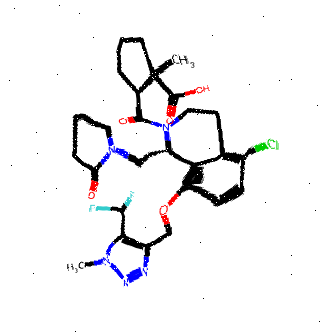 Cn1nnc(COc2ccc(Cl)c3c2[C@@H](CN2CCCC2=O)N(C(=O)C2CCCC2(C)C(=O)O)CC3)c1C(F)F